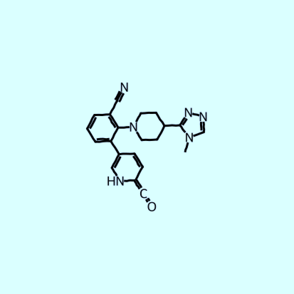 Cn1cnnc1C1CCN(c2c(C#N)cccc2C2=CNC(=C=O)C=C2)CC1